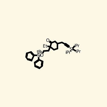 CCC1(CCO[Si](c2ccccc2)(c2ccccc2)C(C)(C)C)CCC(CC#C[Si](C(C)C)(C(C)C)C(C)C)CC1=O